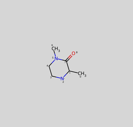 CC1[N]CCN(C)C1=O